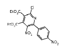 CCOC(=O)c1c(Cl)nc(-c2ccc([N+](=O)[O-])cc2)c([N+](=O)[O-])c1C(=O)OCC